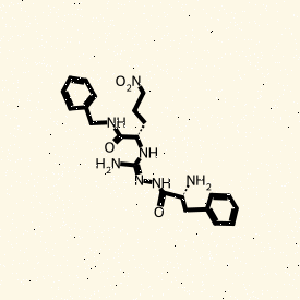 NC(=NNC(=O)[C@H](N)Cc1ccccc1)N[C@@H](CCC[N+](=O)[O-])C(=O)NCc1ccccc1